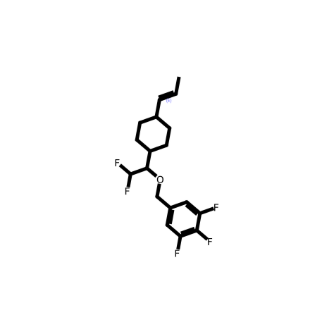 C/C=C/C1CCC(C(OCc2cc(F)c(F)c(F)c2)C(F)F)CC1